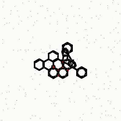 C1=CC(C2CC=CC3=C2Oc2ccccc2C32c3ccccc3-c3ccccc32)=C(c2cccc(-c3cc(-c4ccccc4)nc(-c4ccccc4)n3)c2)CC1